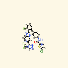 O=C(N[C@H]1CCC[C@@H](n2c(-c3ccccc3F)nc3cnc(-c4nncn4C(F)F)cc32)C1)c1ncc(Cl)s1